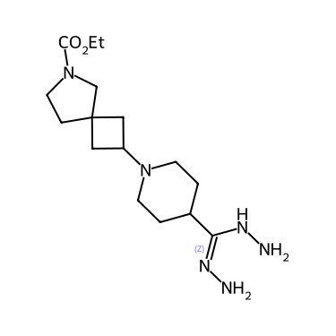 CCOC(=O)N1CCC2(CC(N3CCC(/C(=N/N)NN)CC3)C2)C1